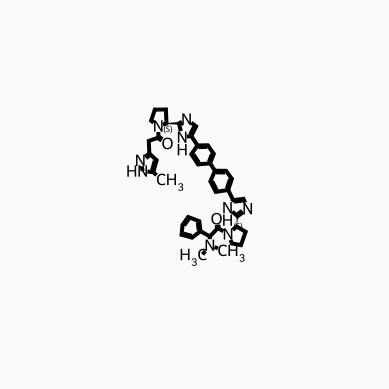 Cc1cc(CC(=O)N2CCC[C@H]2c2ncc(-c3ccc(-c4ccc(-c5cnc([C@@H]6CCCN6C(=O)C(c6ccccc6)N(C)C)[nH]5)cc4)cc3)[nH]2)n[nH]1